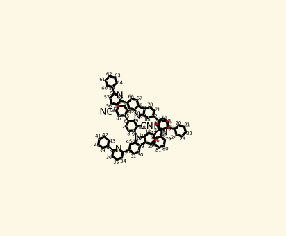 N#Cc1cccc(-c2ccc(-n3c4cc(-c5cccc(-c6ccccc6)n5)ccc4c4ccc(-c5cccc(-c6ccccc6)n5)cc43)c(C#N)c2-n2c3cc(-c4cccc(-c5ccccc5)n4)ccc3c3ccc(-c4cccc(-c5ccccc5)n4)cc32)c1